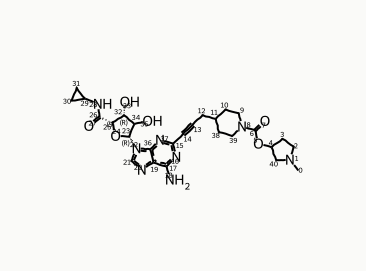 CN1CCC(OC(=O)N2CCC(CC#Cc3nc(N)c4ncn([C@@H]5O[C@H](C(=O)NC6CC6)[C@H](O)C5O)c4n3)CC2)C1